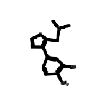 CN(C)Cc1sccc1-c1ccc(N)c(O)c1